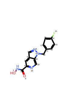 O=C(NO)c1cc2cnn(Cc3ccc(F)cc3)c2cn1